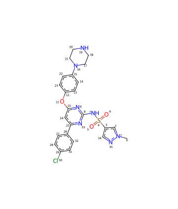 Cn1cc(S(=O)(=O)Nc2nc(Oc3ccc(N4CCNCC4)cc3)cc(-c3ccc(Cl)cc3)n2)cn1